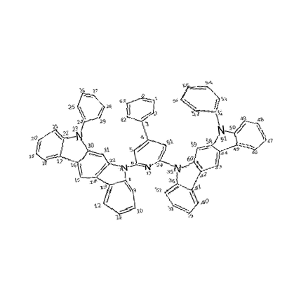 c1ccc(-c2cc(-n3c4ccccc4c4cc5c6ccccc6n(-c6ccccc6)c5cc43)nc(-n3c4ccccc4c4cc5c6ccccc6n(-c6ccccc6)c5cc43)c2)cc1